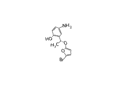 CC(Oc1ccc(Br)o1)c1cc(N)ccc1O